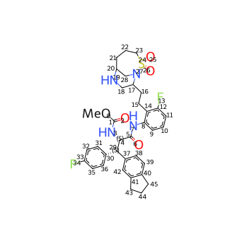 COC(=O)N[C@H](C(=O)Nc1cccc(F)c1CCC1CNC2CCCS(=O)(=O)N1C2)[C@@H](c1ccc(F)cc1)c1ccc2c(c1)CCC2